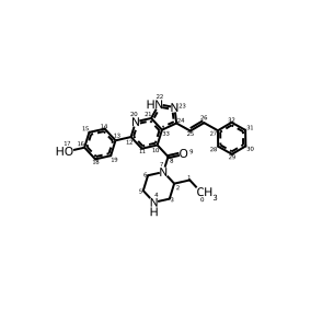 CCC1CNCCN1C(=O)c1cc(-c2ccc(O)cc2)nc2[nH]nc(C=Cc3ccccc3)c12